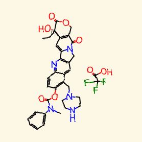 CC[C@@]1(O)C(=O)OCc2c1cc1n(c2=O)Cc2cc3c(CN4CCNCC4)c(OC(=O)N(C)c4ccccc4)ccc3nc2-1.O=C(O)C(F)(F)F